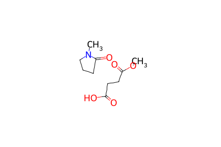 CN1CCCC1=O.COC(=O)CCC(=O)O